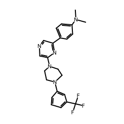 CN(C)c1ccc(-c2cncc(N3CCN(c4cccc(C(F)(F)F)c4)CC3)n2)cc1